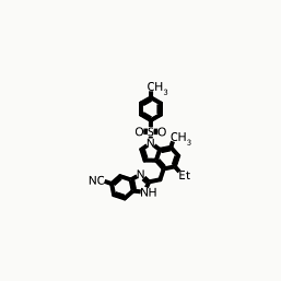 CCc1cc(C)c2c(ccn2S(=O)(=O)c2ccc(C)cc2)c1Cc1nc2cc(C#N)ccc2[nH]1